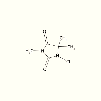 CN1C(=O)N(Cl)C(C)(C)C1=O